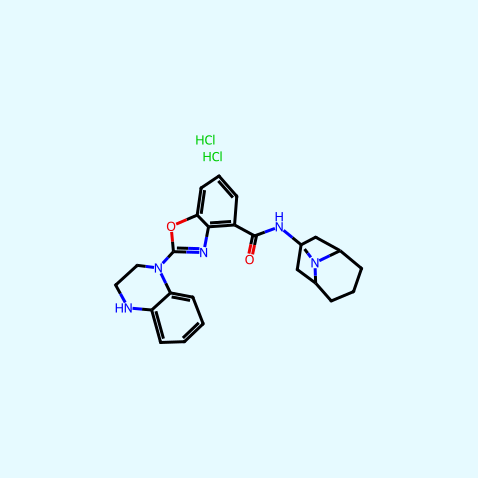 CN1C2CCCC1CC(NC(=O)c1cccc3oc(N4CCNc5ccccc54)nc13)C2.Cl.Cl